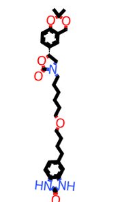 CC1(C)OCc2cc([C@@H]3CN(CCCCCCOCCCCc4ccc5[nH]c(=O)[nH]c5c4)C(=O)O3)ccc2O1